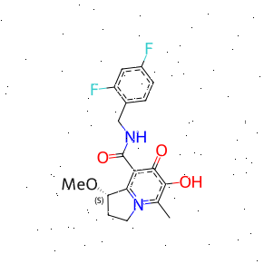 CO[C@H]1CCn2c(C)c(O)c(=O)c(C(=O)NCc3ccc(F)cc3F)c21